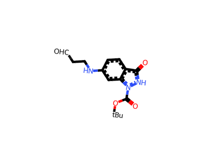 CC(C)(C)OC(=O)n1[nH]c(=O)c2ccc(NCCC=O)cc21